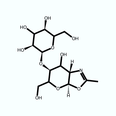 CC1=N[C@H]2C(O)[C@H](O[C@@H]3OC(CO)[C@H](O)C(O)[C@@H]3O)C(CO)O[C@@H]2O1